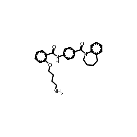 NCCCCOc1ccccc1C(=O)Nc1ccc(C(=O)N2CCCCc3ccccc32)cc1